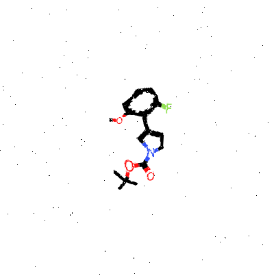 COc1cccc(F)c1C1=CCN(C(=O)OC(C)(C)C)C1